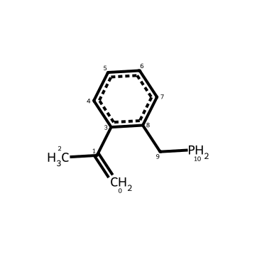 C=C(C)c1ccccc1CP